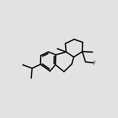 CC(C)c1ccc2c(c1)CCC1C(C)(CF)CCCC21C